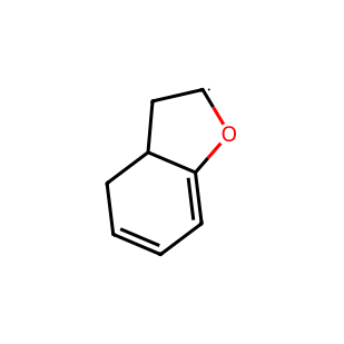 [CH]1CC2CC=CC=C2O1